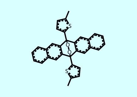 Cc1ccc(C23OOC(c4ccc(C)s4)(c4cc5ccccc5cc42)c2cc4ccccc4cc23)s1